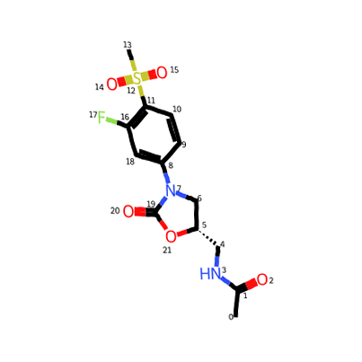 CC(=O)NC[C@H]1CN(c2ccc(S(C)(=O)=O)c(F)c2)C(=O)O1